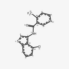 O=C(Nc1nsc2cccc(Cl)c12)c1cnccc1C(F)(F)F